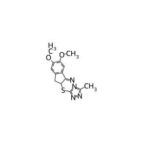 COc1cc2c(cc1OC)C1=Nn3c(C)nnc3SC1C2